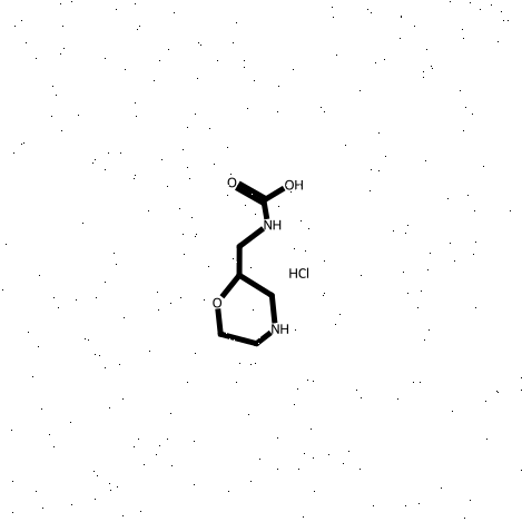 Cl.O=C(O)NCC1CNCCO1